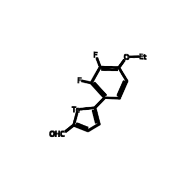 CCOc1ccc(-c2ccc(C=O)[te]2)c(F)c1F